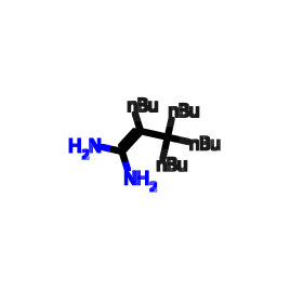 CCCCC(=C(N)N)C(CCCC)(CCCC)CCCC